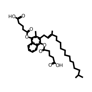 C/C(=C\Cc1c(C)c(OC(=O)CCCC(=O)O)c2ccccc2c1OC(=O)CCCC(=O)O)CCCCCCCCCCCC(C)C